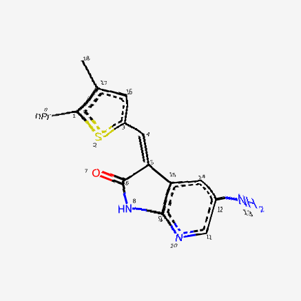 CCCc1sc(C=C2C(=O)Nc3ncc(N)cc32)cc1C